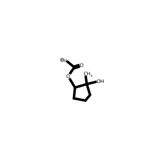 CCC(C)C(=O)OC1CCCC1(C)O